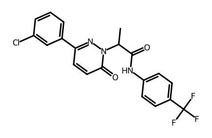 CC(C(=O)Nc1ccc(C(F)(F)F)cc1)n1nc(-c2cccc(Cl)c2)ccc1=O